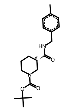 Cc1ccc(CNC(=O)[C@H]2CCCN(C(=O)OC(C)(C)C)C2)cc1